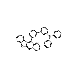 c1ccc(B(c2ccccc2)c2cccc(-c3cccc(-c4c5ncccc5nc5oc6ccccc6c45)c3)c2)cc1